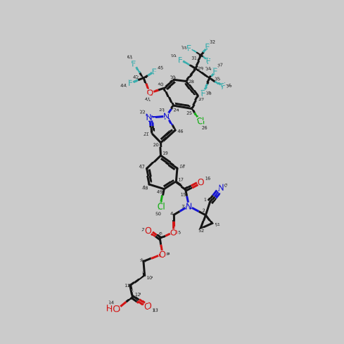 N#CC1(N(COC(=O)OCCCC(=O)O)C(=O)c2cc(-c3cnn(-c4c(Cl)cc(C(F)(C(F)(F)F)C(F)(F)F)cc4OC(F)(F)F)c3)ccc2Cl)CC1